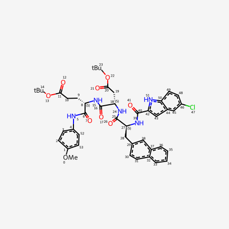 COc1ccc(NC(=O)[C@H](CCC(=O)OC(C)(C)C)NC(=O)[C@H](CC(=O)OC(C)(C)C)NC(=O)[C@H](Cc2ccc3ccccc3c2)NC(=O)c2cc3cc(Cl)ccc3[nH]2)cc1